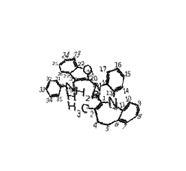 BC1=C(C)CCc2ccccc2N1c1ccccc1Nc1oc2ccccc2c1Nc1ccccc1